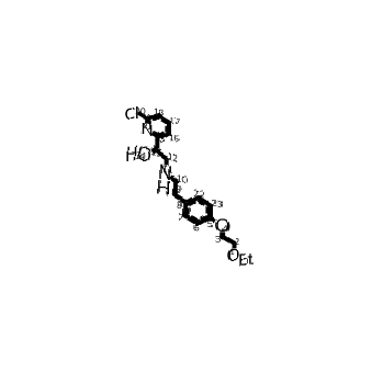 CCOCCOc1ccc(CCNCC(O)c2cccc(Cl)n2)cc1